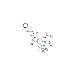 CC(C)C(CNS(=O)(=O)c1ccccc1)NC(=O)N[C@H](C(=O)N1C[C@H]2[C@@H]([C@H]1C(=O)NC(CC1CCC1)C(=O)C(N)=O)C2(C)C)C(C)(C)C